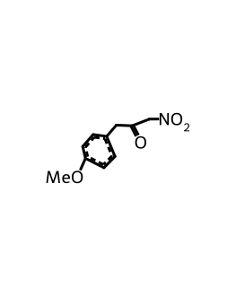 COc1ccc(CC(=O)C[N+](=O)[O-])cc1